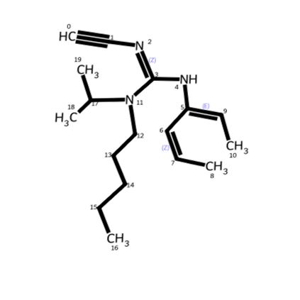 C#C/N=C(/NC(/C=C\C)=C/C)N(CCCCC)C(C)C